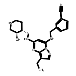 CCc1cnn2c(NCc3cccc(C#N)c3)cc(NC[C@H]3CCNC[C@@H]3O)nc12